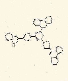 C1=CC2=CC(c3ccc(C4=NC(C5C=CC(c6cc7ccccc7c7ccccc67)=CC5)CC(c5cc6c(c7ccccc57)CCC=C6)=N4)cc3)=CNC2C=C1